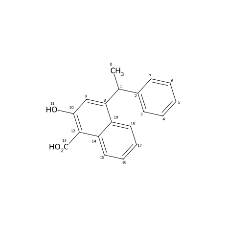 CC(c1ccccc1)c1cc(O)c(C(=O)O)c2ccccc12